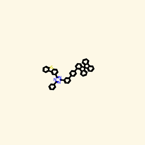 c1ccc(-c2nc(-c3cccc(-c4ccc(-c5cccc6c5-c5ccccc5C65c6ccccc6-c6ccccc65)cc4)c3)nc(-c3ccc4sc5ccccc5c4c3)n2)cc1